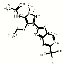 CCSc1c(-c2nc3cc(C(F)(F)F)ncn3n2)nn(C)c1NC(C)=O